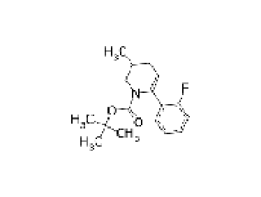 CC1CC=C(c2ccccc2F)N(C(=O)OC(C)(C)C)C1